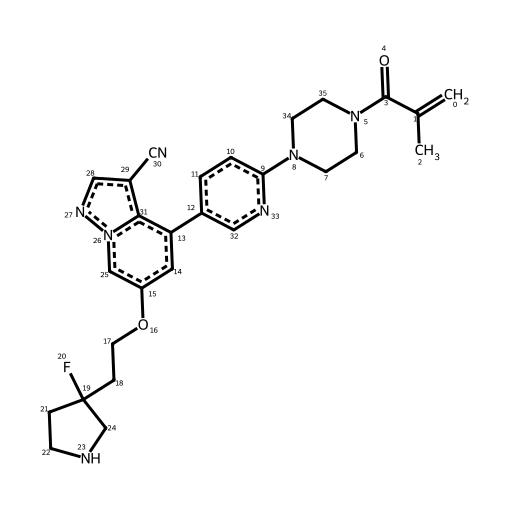 C=C(C)C(=O)N1CCN(c2ccc(-c3cc(OCCC4(F)CCNC4)cn4ncc(C#N)c34)cn2)CC1